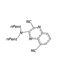 CCCCCN(CCCCC)c1nc2c(C#N)cccc2nc1C#N